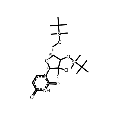 CC(C)(C)[Si](C)(C)OC[C@H]1O[C@H](n2ccc(=O)[nH]c2=O)C(Cl)(Cl)C1O[Si](C)(C)C(C)(C)C